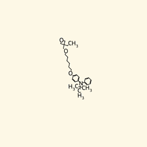 CCC1(COCCCCCCOc2ccc(N(c3ccccc3)C(C)(C)C)cc2)COC1